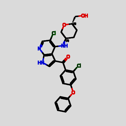 O=C(c1ccc(Oc2ccccc2)cc1Cl)c1c[nH]c2ncc(Cl)c(N[C@@H]3CC[C@@H](CO)OC3)c12